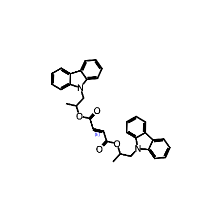 CC(Cn1c2ccccc2c2ccccc21)OC(=O)/C=C/C(=O)OC(C)Cn1c2ccccc2c2ccccc21